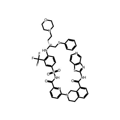 O=C(NS(=O)(=O)c1ccc(N[C@H](CCN2CCOCC2)CSc2ccccc2)c(C(F)(F)F)c1)c1cccc(N2CCc3cccc(C(=O)Nc4nc5cnccc5s4)c3C2)n1